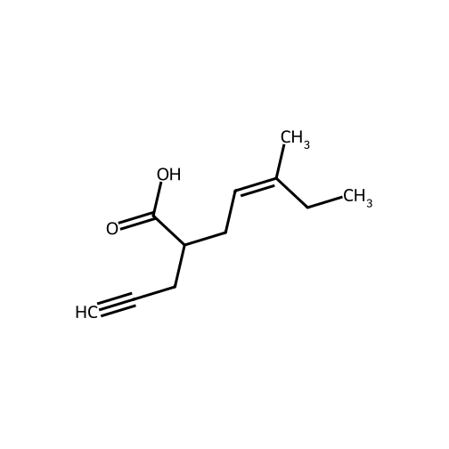 C#CCC(CC=C(C)CC)C(=O)O